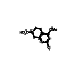 COc1nc(Cl)nc2c1CCN(C(=O)O)C2